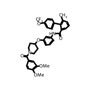 COc1ccc(C(=O)N2CCC(Oc3cccc(NC(=O)c4cccc(C)c4-c4ccc(OC(F)(F)F)cc4)c3)CC2)cc1OC